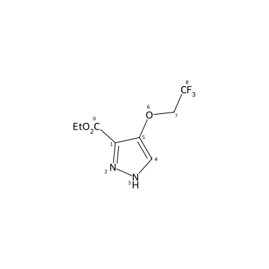 CCOC(=O)c1n[nH]cc1OCC(F)(F)F